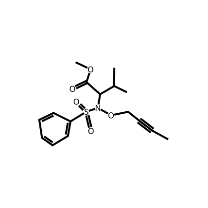 CC#CCON(C(C(=O)OC)C(C)C)S(=O)(=O)c1ccccc1